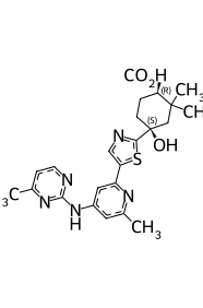 Cc1cc(Nc2nccc(C)n2)cc(-c2cnc([C@]3(O)CC[C@@H](C(=O)O)C(C)(C)C3)s2)n1